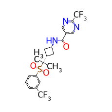 CC(C)([C@H]1C[C@H](NC(=O)c2cnc(C(F)(F)F)nc2)C1)S(=O)(=O)c1cccc(C(F)(F)F)c1